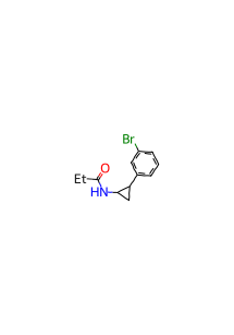 CCC(=O)NC1CC1c1cccc(Br)c1